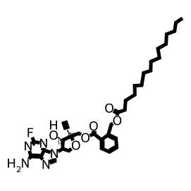 C#C[C@]1(COC(=O)c2ccccc2COC(=O)CCCCCCCCCCCCCCC)OCC(n2cnc3c(N)nc(F)nc32)[C@@H]1O